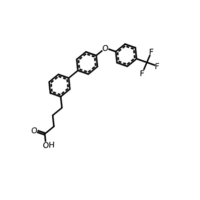 O=C(O)CCCc1cccc(-c2ccc(Oc3ccc(C(F)(F)F)cc3)cc2)c1